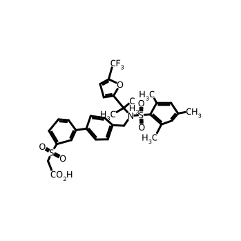 Cc1cc(C)c(S(=O)(=O)N(Cc2ccc(-c3cccc(S(=O)(=O)CC(=O)O)c3)cc2)C(C)(C)c2ccc(C(F)(F)F)o2)c(C)c1